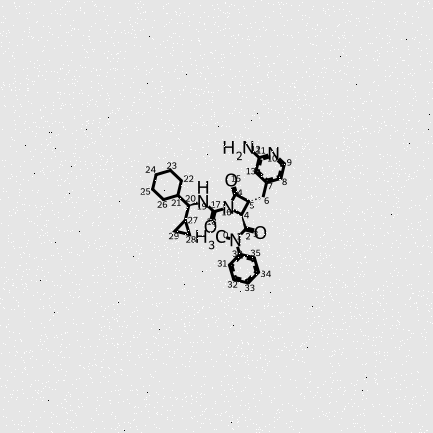 CN(C(=O)[C@@H]1[C@@H](Cc2ccnc(N)c2)C(=O)N1C(=O)N[C@H](C1CCCCC1)C1CC1)c1ccccc1